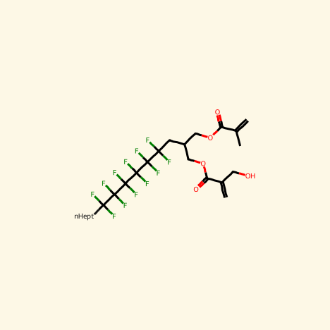 C=C(C)C(=O)OCC(COC(=O)C(=C)CO)CC(F)(F)C(F)(F)C(F)(F)C(F)(F)C(F)(F)C(F)(F)CCCCCCC